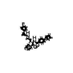 O=C(N[C@@H](CCCN[C@@H]1C[C@H]1c1ccc(F)cc1)C(=O)N1CCOCC1)c1ccc(-n2cccn2)cc1